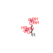 CCC(CCCOP(=O)(O)O)OP(=O)(O)O